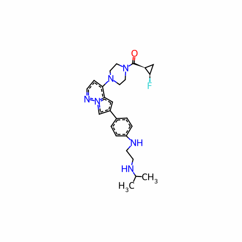 CC(C)NCCNc1ccc(-c2cc3c(N4CCN(C(=O)[C@H]5C[C@H]5F)CC4)ccnn3c2)cc1